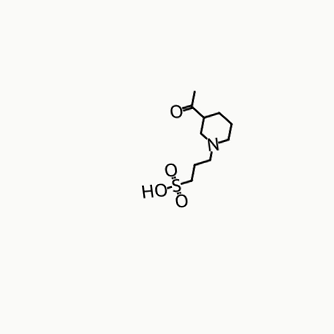 CC(=O)C1CCCN(CCCS(=O)(=O)O)C1